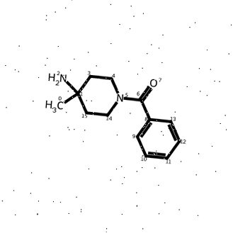 CC1(N)CCN(C(=O)c2c[c]ccc2)CC1